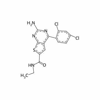 CCNC(=O)c1cc2c(-c3ccc(Cl)cc3Cl)nc(N)nc2s1